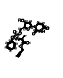 C#CCOC(=O)[C@H](C)NP(=O)(OC[C@@H]1O[C@H](n2ccc(=O)[nH]c2=O)C[C@H]1O)Oc1ccccc1